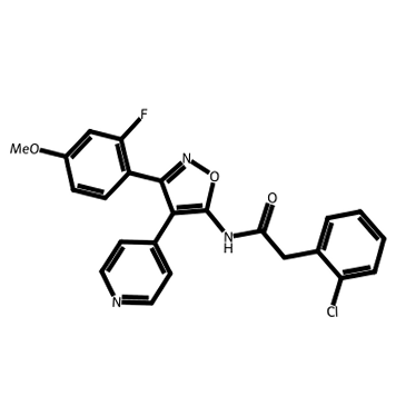 COc1ccc(-c2noc(NC(=O)Cc3ccccc3Cl)c2-c2ccncc2)c(F)c1